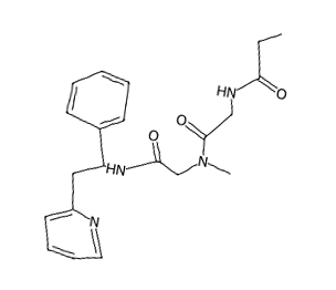 CCC(=O)NCC(=O)N(C)CC(=O)NC(Cc1ccccn1)c1ccccc1